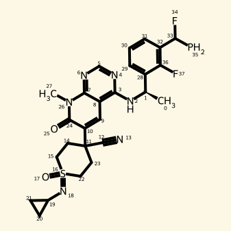 C[C@@H](Nc1ncnc2c1cc(C1(C#N)CCS(=O)(=NC3CC3)CC1)c(=O)n2C)c1cccc(C(F)P)c1F